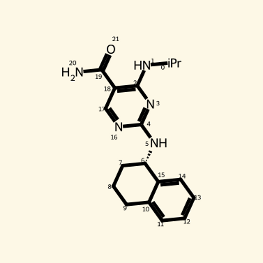 CC(C)Nc1nc(N[C@H]2CCCc3ccccc32)ncc1C(N)=O